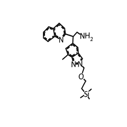 Cc1cc(C(CN)c2ccc3ccccc3n2)cc2cn(COCC[Si](C)(C)C)nc12